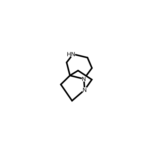 C1CN2N3CCC2(CC3)CN1